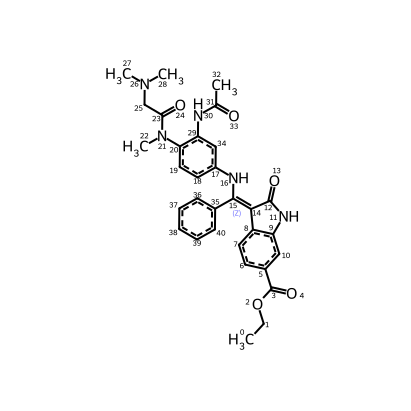 CCOC(=O)c1ccc2c(c1)NC(=O)/C2=C(\Nc1ccc(N(C)C(=O)CN(C)C)c(NC(C)=O)c1)c1ccccc1